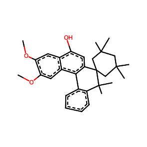 COc1cc2c(O)cc3c(c2cc1OC)-c1ccccc1C(C)(C)C31CC(C)(C)CC(C)(C)C1